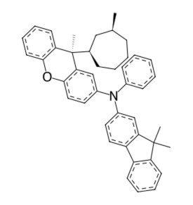 C[C@H]1CCCC[C@@H]([C@]2(C)c3ccccc3Oc3ccc(N(c4ccccc4)c4ccc5c(c4)C(C)(C)c4ccccc4-5)cc32)C1